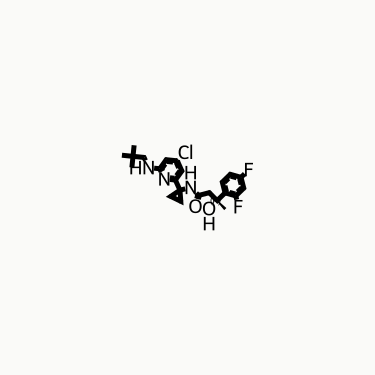 CC(C)(C)CNc1cc(Cl)cc(C2(NC(=O)C[C@@](C)(O)c3ccc(F)cc3F)CC2)n1